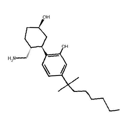 CCCCCCC(C)(C)c1ccc([C@@H]2C[C@H](O)CC[C@H]2CN)c(O)c1